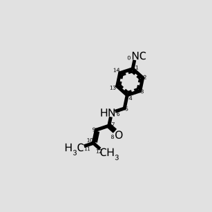 [C-]#[N+]c1ccc(CNC(=O)C=C(C)C)cc1